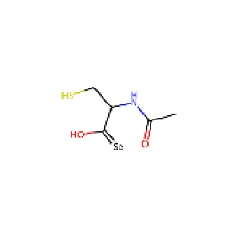 CC(=O)NC(CS)C(O)=[Se]